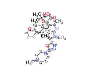 Cc1nc2c(cc(-c3nnc(N4CCCN(C)CC4)o3)n2C)c(-c2cc(F)c3c(c2C)CCCO3)c1[C@H](OC(C)(C)C)C(=O)O